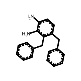 Nc1ccc(Cc2ccccc2)c(Cc2ccccc2)c1N